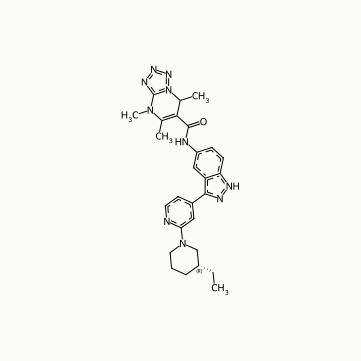 CC[C@@H]1CCCN(c2cc(-c3n[nH]c4ccc(NC(=O)C5=C(C)N(C)c6nnnn6C5C)cc34)ccn2)C1